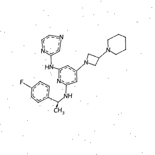 C[C@H](Nc1cc(N2CC(N3CCCCC3)C2)cc(Nc2cnccn2)n1)c1ccc(F)cc1